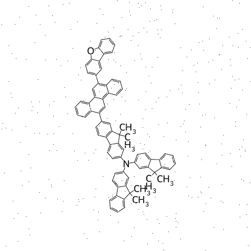 CC1(C)c2ccccc2-c2ccc(N(c3ccc4c(c3)C(C)(C)c3ccccc3-4)c3ccc4c(c3)C(C)(C)c3cc(-c5cc6c7ccccc7c(-c7ccc8oc9ccccc9c8c7)cc6c6ccccc56)ccc3-4)cc21